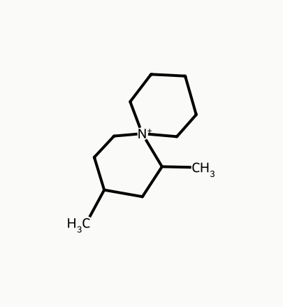 CC1CC[N+]2(CCCCC2)C(C)C1